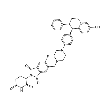 O=C1CCC(N2C(=O)c3cc(F)c(CN4CCN(c5ccc([C@@H]6c7ccc(O)cc7CC[C@@H]6c6ccccc6)cc5)CC4)cc3C2=O)C(=O)N1